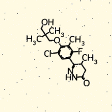 Cc1c(F)c(C2=NNC(=O)CC2C)cc(Cl)c1OCC(C)(C)CO